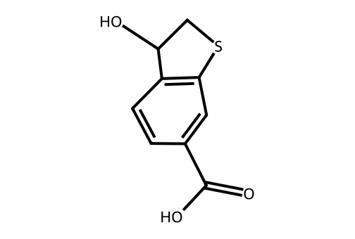 O=C(O)c1ccc2c(c1)SCC2O